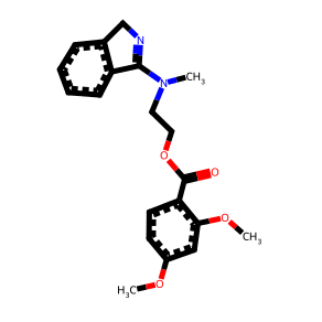 COc1ccc(C(=O)OCCN(C)C2=NCc3ccccc32)c(OC)c1